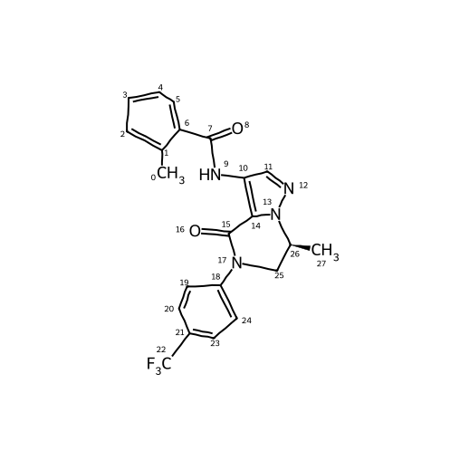 Cc1ccccc1C(=O)Nc1cnn2c1C(=O)N(c1ccc(C(F)(F)F)cc1)C[C@@H]2C